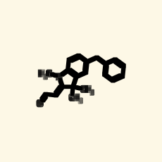 CN1C(=CC=O)C(C)(C)c2cc(Cc3ccccc3)ccc21